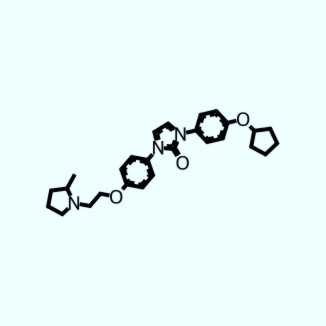 CC1CCCN1CCOc1ccc(-n2ccn(-c3ccc(OC4CCCC4)cc3)c2=O)cc1